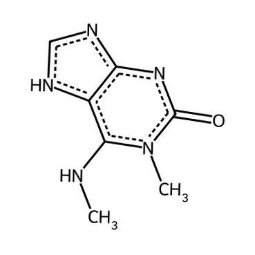 CNc1c2[nH]cnc2nc(=O)n1C